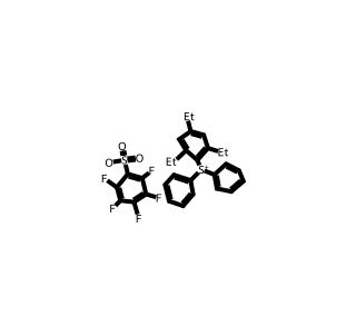 CCc1cc(CC)c([S+](c2ccccc2)c2ccccc2)c(CC)c1.O=S(=O)([O-])c1c(F)c(F)c(F)c(F)c1F